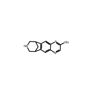 Oc1cnc2cc3c(cc2n1)C1CNCC3C1